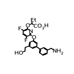 CCC(Oc1nc(Oc2cc(CCO)cc(-c3cccc(CN)c3)c2)c(F)cc1F)C(=O)O